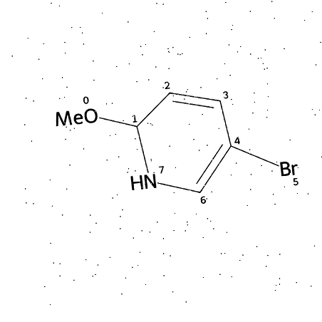 COC1C=CC(Br)=CN1